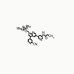 C=CC(=O)Nc1cncc(-c2cnc3c(c2)c(-c2ccnc(C#N)c2)cn3COP(=O)(OC(C)(C)C)OC(C)(C)C)c1